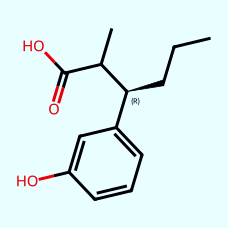 CCC[C@@H](c1cccc(O)c1)C(C)C(=O)O